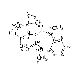 CN1C[C@H](N(C(=O)O)C(C)(C)C)C(=O)N(C)c2ccccc21